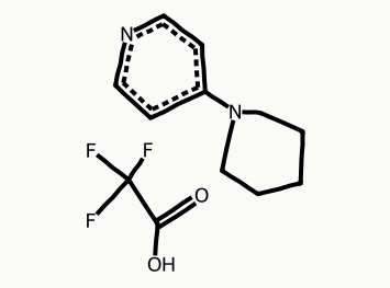 O=C(O)C(F)(F)F.c1cc(N2CCCCC2)ccn1